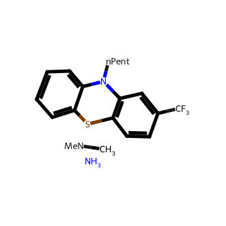 CCCCCN1c2ccccc2Sc2ccc(C(F)(F)F)cc21.CNC.N